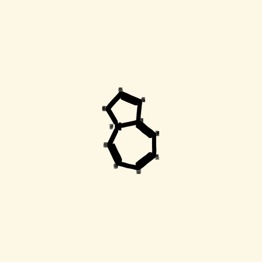 C1=CC=C2C=CCN2C=C1